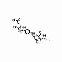 Nc1nc2c(c(=O)[nH]1)SC(CNc1ccc(C(=O)N[C@@H](CCC(=O)O)C(=O)O)cc1)CN2